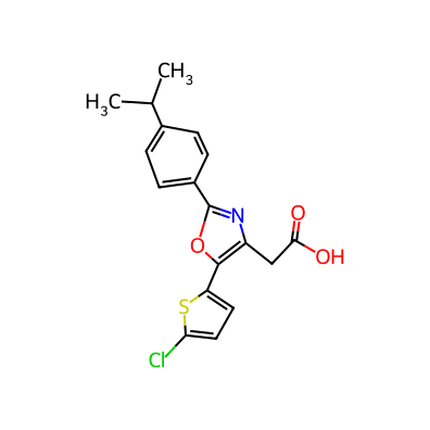 CC(C)c1ccc(-c2nc(CC(=O)O)c(-c3ccc(Cl)s3)o2)cc1